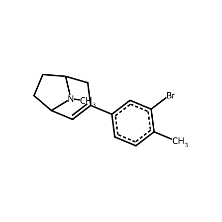 Cc1ccc(C2=CC3CCC(C2)N3C)cc1Br